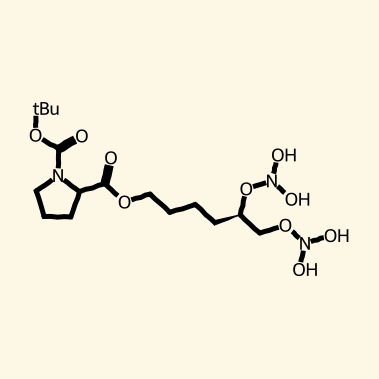 CC(C)(C)OC(=O)N1CCCC1C(=O)OCCCC[C@H](CON(O)O)ON(O)O